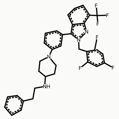 Fc1cc(F)c(Cn2nc3c(C(F)(F)F)cccc3c2-c2cccc(N3CCC(NCCc4ccccc4)CC3)c2)c(F)c1